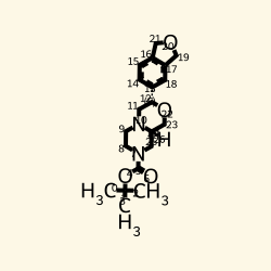 CC(C)(C)OC(=O)N1CCN2C[C@H](c3ccc4c(c3)COC4)OC[C@@H]2C1